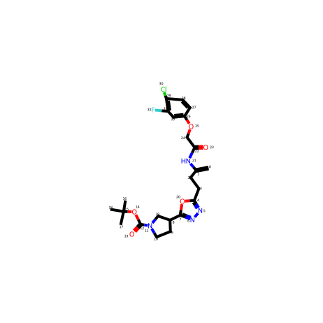 C=C(CCc1nnc(C2CCN(C(=O)OC(C)(C)C)C2)o1)NC(=O)COc1ccc(Cl)c(F)c1